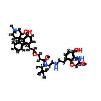 C[C@@H](N(CCNCCc1ccc(O)c2c1OCC(=O)N2)C(=O)CCOCCc1ccc(O)c(C2(c3ccccc3)CCN(C)CC2)c1)C(C)(C)C